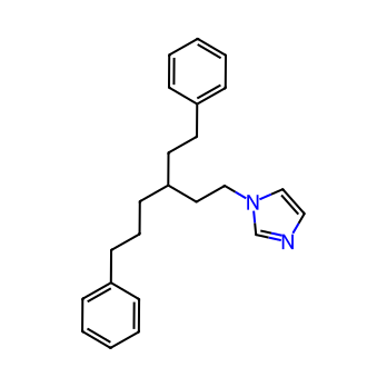 c1ccc(CCCC(CCc2ccccc2)CCn2ccnc2)cc1